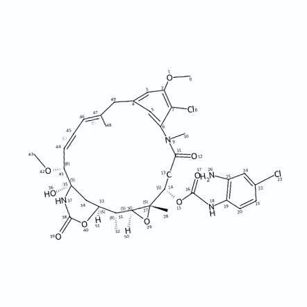 COc1cc2cc(c1Cl)N(C)C(=O)C[C@H](OC(=O)Nc1ccc(Cl)cc1N)[C@]1(C)O[C@H]1[C@H](C)[C@@H]1C[C@@](O)(NC(=O)O1)[C@H](OC)/C=C/C=C(\C)C2